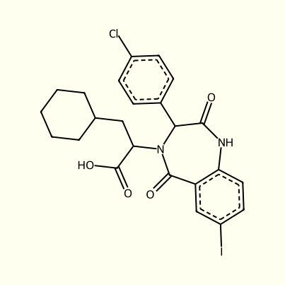 O=C(O)C(CC1CCCCC1)N1C(=O)c2cc(I)ccc2NC(=O)C1c1ccc(Cl)cc1